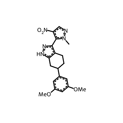 COc1cc(OC)cc(C2CCc3c(-c4c([N+](=O)[O-])cnn4C)n[nH]c3C2)c1